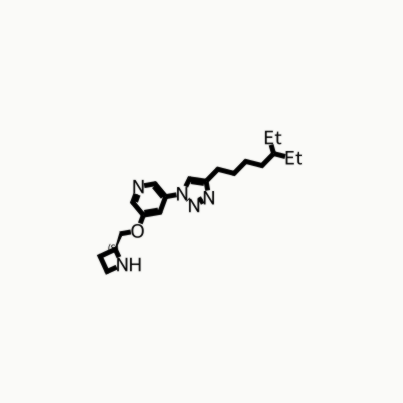 CCC(CC)CCCCc1cn(-c2cncc(OC[C@@H]3CCN3)c2)nn1